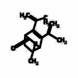 C=C(C)C1=C(C(=C)C)C2CCC1C(=O)N2C